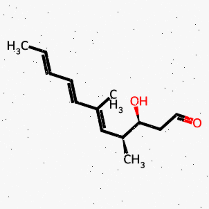 C/C=C/C=C/C(C)=C/[C@H](C)[C@@H](O)CC=O